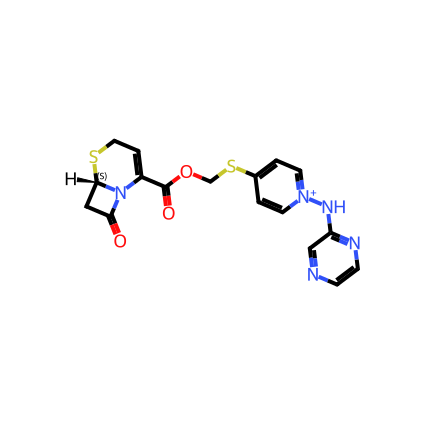 O=C(OCSc1cc[n+](Nc2cnccn2)cc1)C1=CCS[C@H]2CC(=O)N12